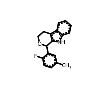 Cc1ccc(F)c(C2OCCc3c2[nH]c2ccccc32)c1